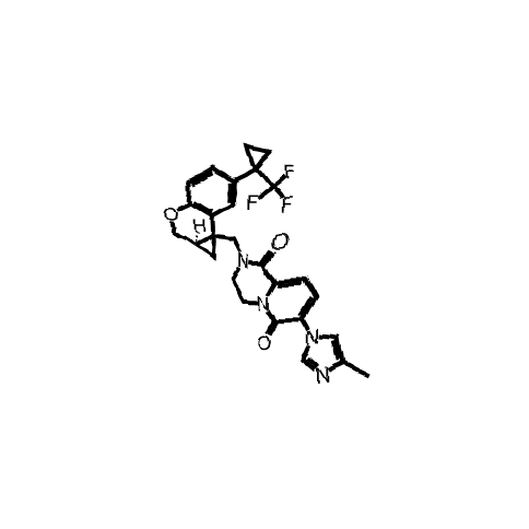 Cc1cn(-c2ccc3n(c2=O)CCN(CC24C[C@H]2COc2ccc(C5(C(F)(F)F)CC5)cc24)C3=O)cn1